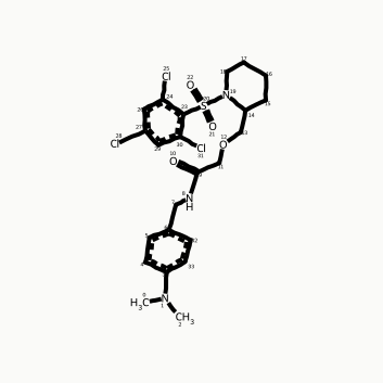 CN(C)c1ccc(CNC(=O)COCC2CCCCN2S(=O)(=O)c2c(Cl)cc(Cl)cc2Cl)cc1